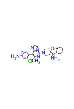 Cc1nc(N2CCC3(CC2)Oc2ccccc2[C@H]3N)n2ccnc2c1-c1cnc(N)cc1Cl